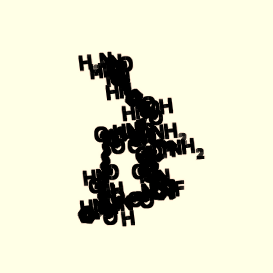 CC[C@@]1(O)C(=O)OCc2c1cc1n(c2=O)Cc2c-1nc1cc(F)c(C)c3c1c2[C@@H](NC(=O)COCNC(=O)CNC(=O)[C@H](Cc1ccccc1)NC(=O)CNC(=O)CNC(=O)CCCCCN1C(=O)CC(SC[C@H](NC(=O)CC[C@H](NC(=O)c2ccc(NCc4cnc5[nH]c(N)nc(=O)c5n4)cc2)C(=O)O)C(=O)CC[C@@H](CCCCN)C(N)=O)C1=O)CC3